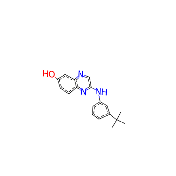 CC(C)(C)c1cccc(Nc2cnc3cc(O)ccc3n2)c1